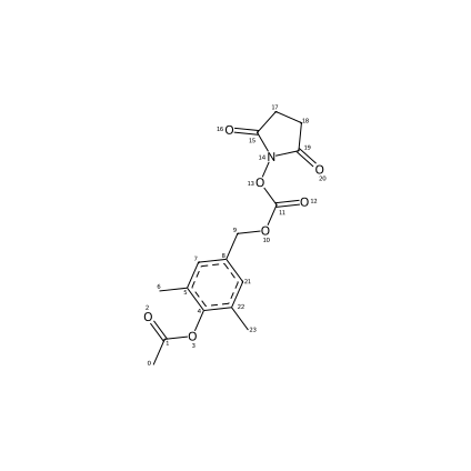 CC(=O)Oc1c(C)cc(COC(=O)ON2C(=O)CCC2=O)cc1C